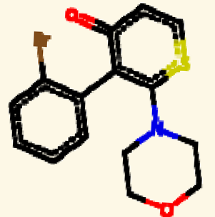 O=c1ccsc(N2CCOCC2)c1-c1ccccc1Br